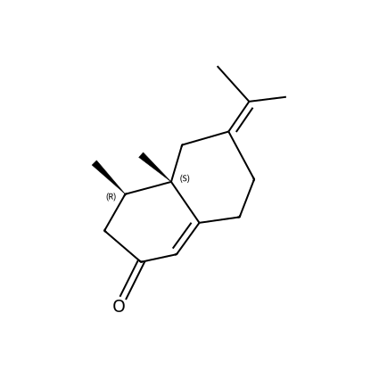 CC(C)=C1CCC2=CC(=O)C[C@@H](C)[C@]2(C)C1